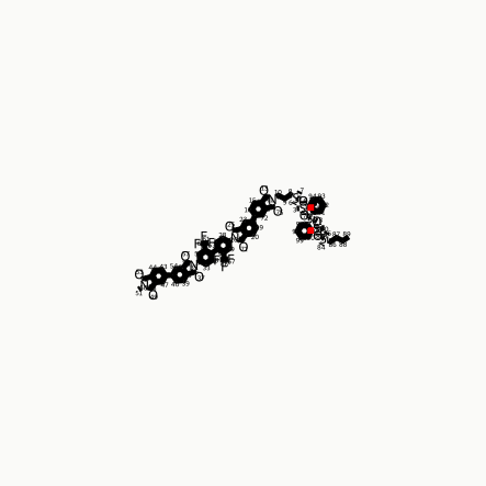 C=C[Si](C)(O[Si](C)(C)CCCN1C(=O)c2ccc(-c3ccc4c(c3)C(=O)N(c3ccc(-c5ccc(N6C(=O)c7ccc(-c8ccc9c(c8)C(=O)N(C)C9=O)cc7C6=O)cc5C(F)(F)F)c(C(F)(F)F)c3)C4=O)cc2C1=O)O[Si](O[Si](C)(C)O[Si](C)(C)CCCC)(c1ccccc1)c1ccccc1